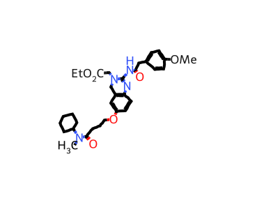 CCOC(=O)CN1Cc2cc(OCCCC(=O)N(C)C3CCCCC3)ccc2N=C1NC(=O)Cc1ccc(OC)cc1